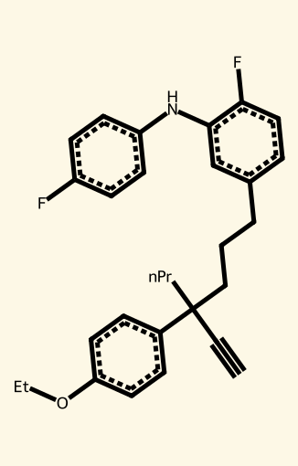 C#CC(CCC)(CCCc1ccc(F)c(Nc2ccc(F)cc2)c1)c1ccc(OCC)cc1